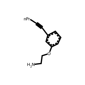 CCCC#Cc1cccc(OCCN)c1